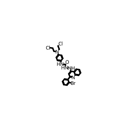 O=C(NNc1cc(-c2ccccc2Br)nc2ccccc12)Nc1ccc(N(CCCl)CCCl)cc1